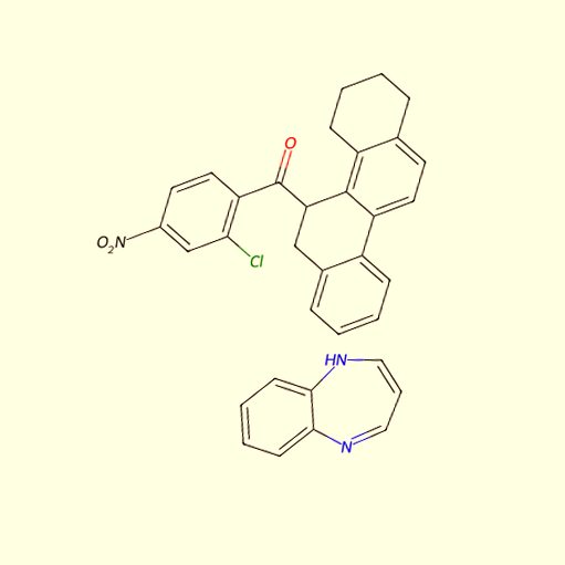 C1=CNc2ccccc2N=C1.O=C(c1ccc([N+](=O)[O-])cc1Cl)C1Cc2ccccc2-c2ccc3c(c21)CCCC3